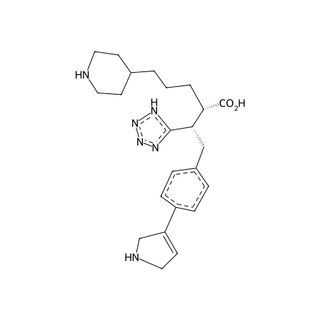 O=C(O)[C@@H](CCCC1CCNCC1)[C@H](Cc1ccc(C2=CCNC2)cc1)c1nnn[nH]1